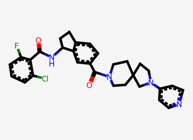 O=C(NC1CCc2ccc(C(=O)N3CCC4(CC3)CCN(c3ccncc3)C4)cc21)c1c(F)cccc1Cl